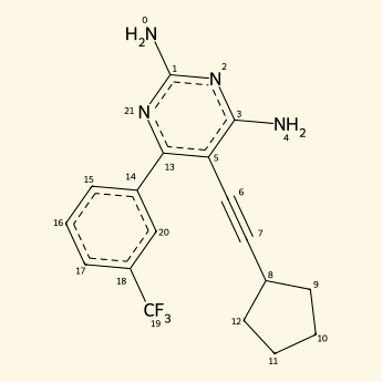 Nc1nc(N)c(C#CC2CCCC2)c(-c2cccc(C(F)(F)F)c2)n1